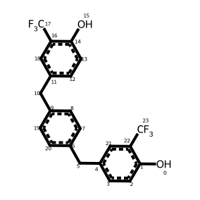 Oc1ccc(Cc2ccc(Cc3ccc(O)c(C(F)(F)F)c3)cc2)cc1C(F)(F)F